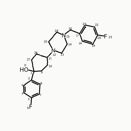 OC1(c2ccc(F)cc2)CCC(N2CCN(Cc3ccc(F)cc3)CC2)CC1